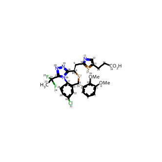 COc1cccc([C@H]2S[C@H](Cc3ncc(CCC(=O)O)s3)c3nnc(C(C)(F)F)n3-c3ccc(Cl)cc32)c1OC